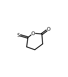 O=C1CCCC(=S)O1